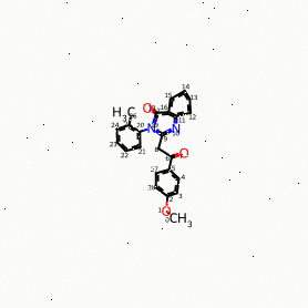 COc1ccc(C(=O)Cc2nc3ccccc3c(=O)n2-c2ccccc2C)cc1